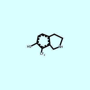 FC(F)(F)c1c(S)ccc2c1CNCC2